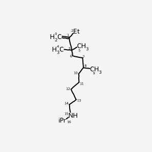 C=C(CC)C(C)(C)CCC(C)CCCCCNC(C)C